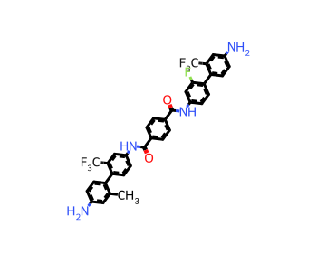 Cc1cc(N)ccc1-c1ccc(NC(=O)c2ccc(C(=O)Nc3ccc(-c4ccc(N)cc4C(F)(F)F)c(F)c3)cc2)cc1C(F)(F)F